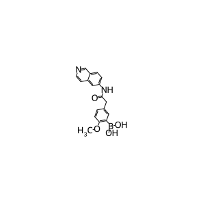 COc1ccc(CC(=O)Nc2ccc3cnccc3c2)cc1B(O)O